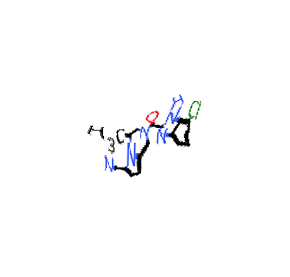 CC1CN(C(=O)c2nc3cccc(Cl)c3[nH]2)Cc2ccc(C#N)n21